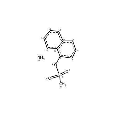 CS(=O)(=O)Oc1cccc2ccccc12.N